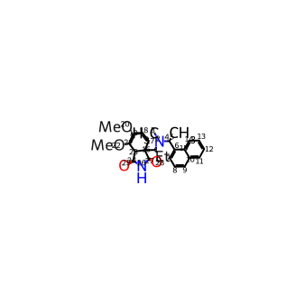 CCC(N(C)C(C)c1cccc2ccccc12)C12C=CC(OC)=C(OC)C1C(=O)NC2=O